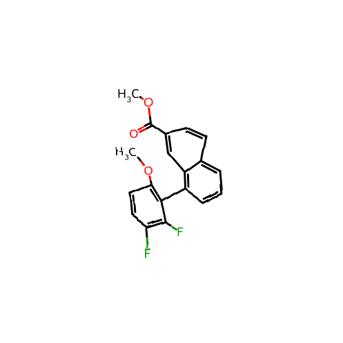 COC(=O)c1ccc2cccc(-c3c(OC)ccc(F)c3F)c2c1